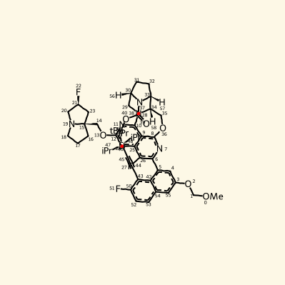 COCOc1cc(-c2nc3c4c(nc(OC[C@@]56CCCN5C[C@@H](F)C6)nc4c2F)N2C[C@@H]4CC[C@H]([C@@H]2CO3)N4C(=O)OC(C)(C)C)c2c(C#C[Si](C(C)C)(C(C)C)C(C)C)c(F)ccc2c1